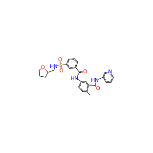 Cc1ccc(NC(=O)c2cccc(S(=O)(=O)NCC3CCCO3)c2)cc1C(=O)Nc1cccnc1